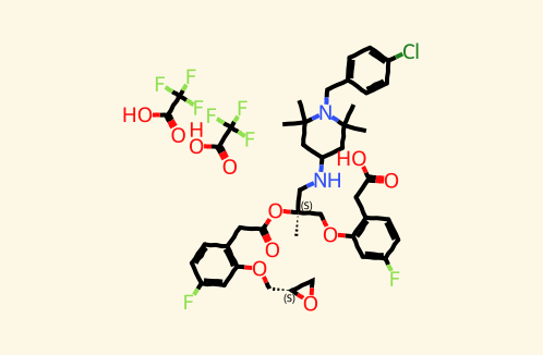 CC1(C)CC(NC[C@@](C)(COc2cc(F)ccc2CC(=O)O)OC(=O)Cc2ccc(F)cc2OC[C@@H]2CO2)CC(C)(C)N1Cc1ccc(Cl)cc1.O=C(O)C(F)(F)F.O=C(O)C(F)(F)F